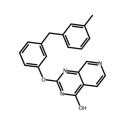 Cc1cccc(Cc2cccc(Oc3nc(O)c4ccncc4n3)c2)c1